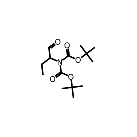 CCC(C=O)N(C(=O)OC(C)(C)C)C(=O)OC(C)(C)C